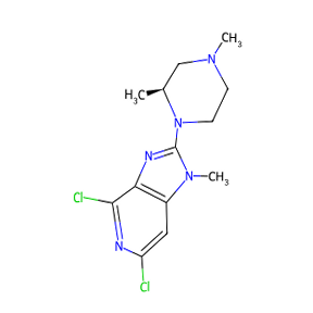 C[C@H]1CN(C)CCN1c1nc2c(Cl)nc(Cl)cc2n1C